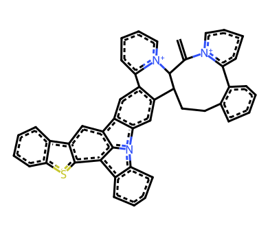 C=C1C2C(CCc3ccccc3-c3cccc[n+]31)c1cc3c(cc1-c1cccc[n+]12)c1cc2c4ccccc4sc2c2c4ccccc4n3c12